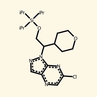 CC(C)[Si](OCC(C1CCOCC1)n1ncc2ncc(Cl)nc21)(C(C)C)C(C)C